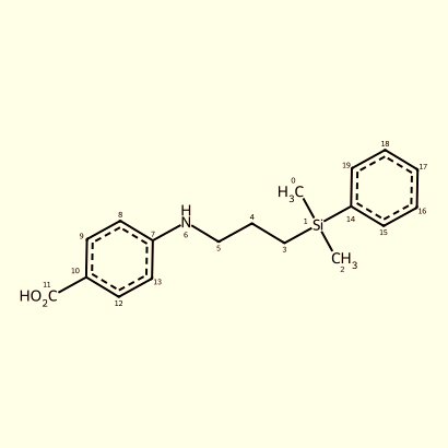 C[Si](C)(CCCNc1ccc(C(=O)O)cc1)c1ccccc1